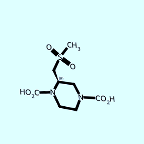 CS(=O)(=O)C[C@H]1CN(C(=O)O)CCN1C(=O)O